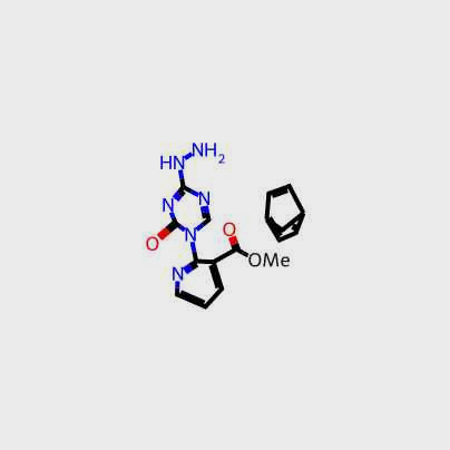 C1=CC2=CC=C1C2.COC(=O)c1cccnc1-n1cnc(NN)nc1=O